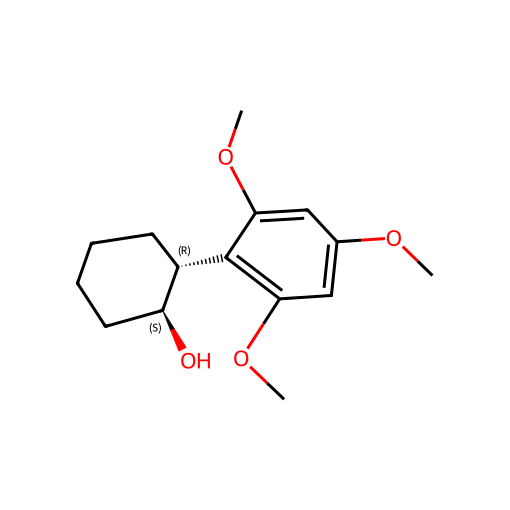 COc1cc(OC)c([C@H]2CCCC[C@@H]2O)c(OC)c1